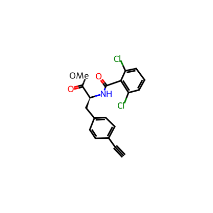 C#Cc1ccc(C[C@H](NC(=O)c2c(Cl)cccc2Cl)C(=O)OC)cc1